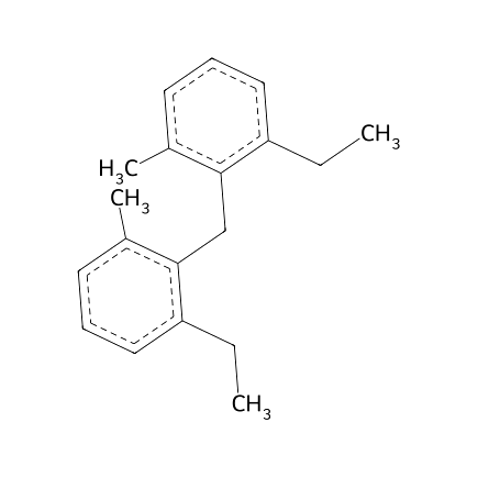 CCc1cccc(C)c1Cc1c(C)cccc1CC